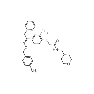 Cc1ccc(CON=C(Cc2ccccc2)c2ccc(OCC(=O)NCC3CCOCC3)c(C)c2)cc1